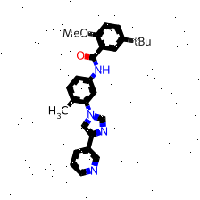 COc1ccc(C(C)(C)C)cc1C(=O)Nc1ccc(C)c(-n2cnc(-c3cccnc3)c2)c1